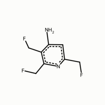 Nc1cc(CF)nc(CF)c1CF